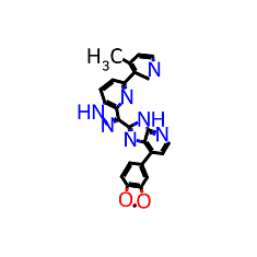 Cc1ccncc1-c1ccc2[nH]nc(-c3nc4c(-c5ccc6c(c5)OCO6)ccnc4[nH]3)c2n1